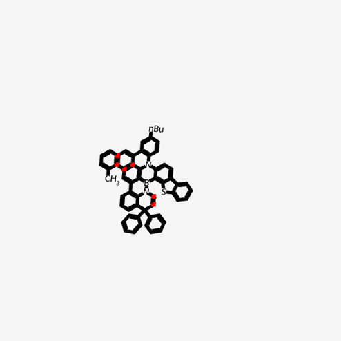 CCCCc1ccc(N2c3cc(-c4ccccc4C)cc4c3B(c3c2ccc2c3sc3ccccc32)N2c3ccccc3C(c3ccccc3)(c3ccccc3)c3cccc-4c32)c(-c2ccccc2)c1